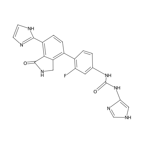 O=C(Nc1ccc(-c2ccc(-c3ncc[nH]3)c3c2CNC3=O)c(F)c1)Nc1c[nH]cn1